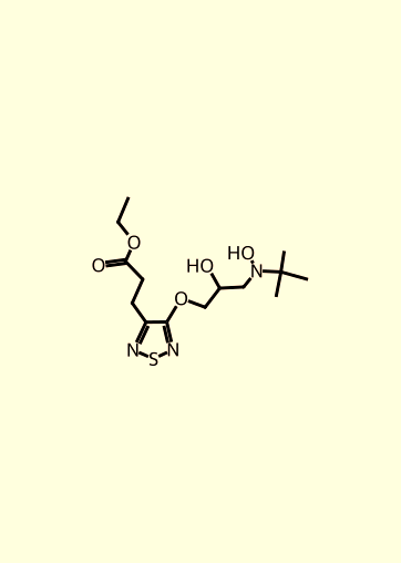 CCOC(=O)CCc1nsnc1OCC(O)CN(O)C(C)(C)C